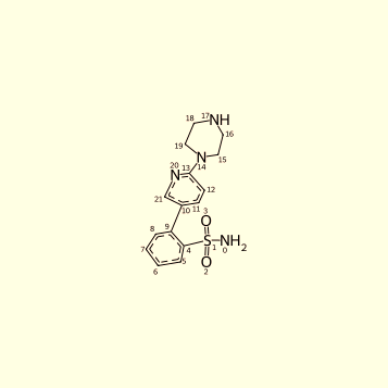 NS(=O)(=O)c1ccccc1-c1ccc(N2CCNCC2)nc1